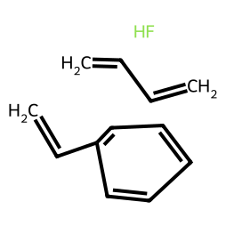 C=CC=C.C=Cc1ccccc1.F